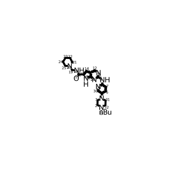 CCCCN1CCN(c2ccc(Nc3ncc4cc(C(=O)NCN5CCCCC5)[nH]c4n3)nc2)CC1